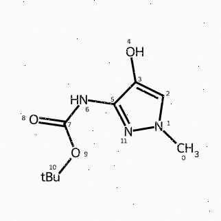 Cn1cc(O)c(NC(=O)OC(C)(C)C)n1